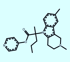 CCCC(C)(C(=O)Oc1ccncc1)n1c2c(c3cc(C)ccc31)CN(C)CC2